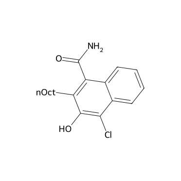 CCCCCCCCc1c(O)c(Cl)c2ccccc2c1C(N)=O